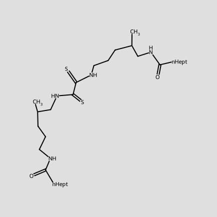 CCCCCCCC(=O)NCCCC(C)CNC(=S)C(=S)NCCCC(C)CNC(=O)CCCCCCC